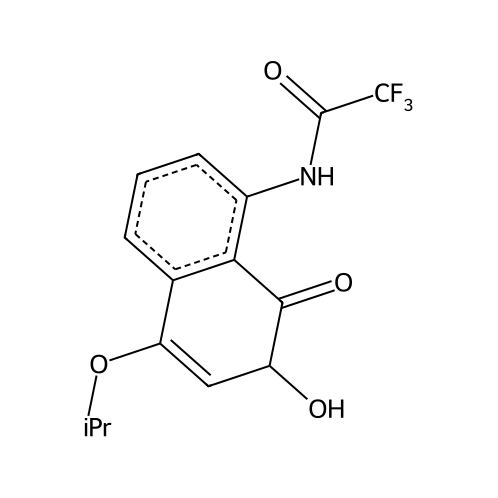 CC(C)OC1=CC(O)C(=O)c2c(NC(=O)C(F)(F)F)cccc21